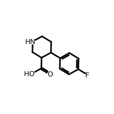 O=C(O)C1CNCCC1c1ccc(F)cc1